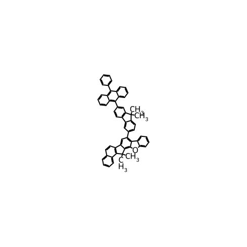 CC1(C)c2ccc(-c3cc4c(c5oc6ccccc6c35)C(C)(C)c3c-4ccc4ccccc34)cc2-c2ccc(-c3c4ccccc4c(-c4ccccc4)c4ccccc34)cc21